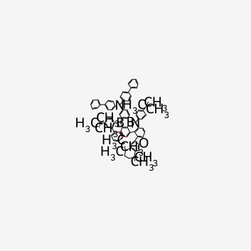 Cc1cc2c3c(c1)-c1c(ccc4oc5cc6c(cc5c14)C(C)(C)CCC6(C)C)N(c1ccc(C(C)(C)C)cc1)B3c1ccc(N(c3ccc(-c4ccccc4)cc3)c3ccc(-c4ccccc4)cc3)cc1B2c1ccc(C(C)(C)C)cc1-c1ccccc1